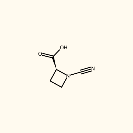 N#CN1CC[C@H]1C(=O)O